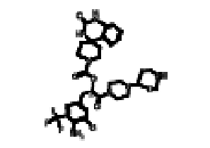 Nc1c(Cl)cc(C[C@@H](OC(=O)N2CCC3(CC2)NC(=O)Nc2ccccc23)C(=O)N2CCN(C3CCNCC3)CC2)cc1C(F)(F)F